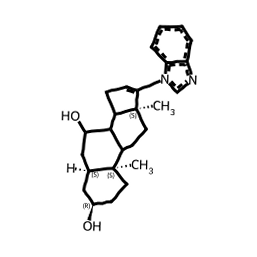 C[C@]12CCC3C(C(O)C[C@@H]4C[C@H](O)CC[C@]34C)C1CC=C2n1cnc2ccccc21